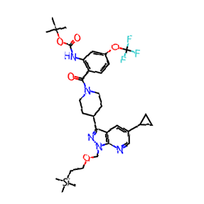 CC(C)(C)OC(=O)Nc1cc(OC(F)(F)F)ccc1C(=O)N1CCC(c2nn(COCC[Si](C)(C)C)c3ncc(C4CC4)cc23)CC1